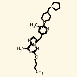 CCCCOc1nc(N)c2ncc(Cc3cnc(N4CCC(CN5CCCC5)CC4)c(C)c3)n2n1